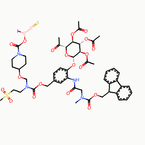 CC(=O)O[C@@H]1[C@@H](OC(C)=O)[C@H](Oc2ccc(COC(=O)N(CCS(C)(=O)=O)COC3CCN(C(=O)OB(I)B=S)CC3)cc2NC(=O)CN(C)C(=O)OCC2c3ccccc3-c3ccccc32)O[C@H](C(C)=O)[C@H]1OC(C)=O